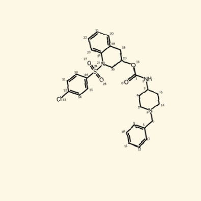 O=C(NC1CCN(Cc2ccccc2)CC1)OC1Cc2ccccc2N(S(=O)(=O)c2ccc(Cl)cc2)C1